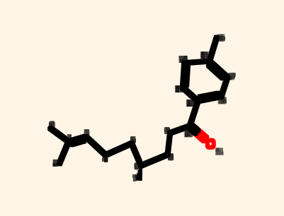 CC(C)=CCC[C@@H](C)CCC(=O)c1ccc(C)cc1